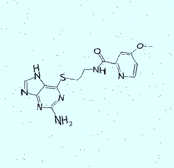 COc1ccnc(C(=O)NCCSc2nc(N)nc3nc[nH]c23)c1